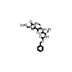 CCOCn1nc(C(=O)[C@H](CC(C)C)NC(=O)[C@H](CC(C)C)NC(=O)OCc2ccccc2)oc1=O